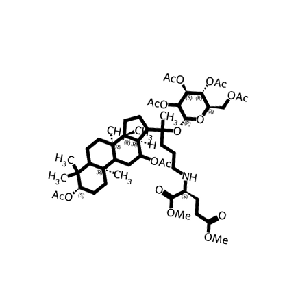 COC(=O)CC[C@H](NCCCC(C)(O[C@H]1O[C@H](COC(C)=O)[C@@H](OC(C)=O)[C@H](OC(C)=O)C1OC(C)=O)C1CC[C@]2(C)[C@@H]1C(OC(C)=O)CC1[C@@]3(C)CC[C@H](OC(C)=O)C(C)(C)C3CC[C@]12C)C(=O)OC